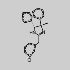 C[C@@]1(c2ccccc2)N=C(Cc2cccc(Cl)c2)N[C@@H]1c1ccccc1